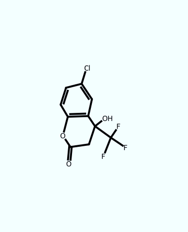 O=C1CC(O)(C(F)(F)F)c2cc(Cl)ccc2O1